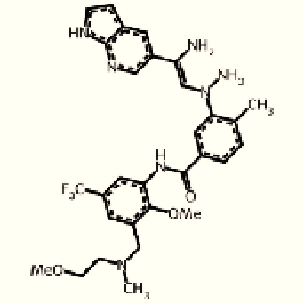 COCCN(C)Cc1cc(C(F)(F)F)cc(NC(=O)c2ccc(C)c(N(N)/C=C(\N)c3cnc4[nH]ccc4c3)c2)c1OC